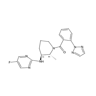 C[C@@H]1[C@@H](Nc2ncc(F)cn2)CCCN1C(=O)c1ccccc1-n1nccn1